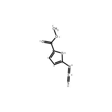 COC(=O)c1ccc(N=C=S)o1